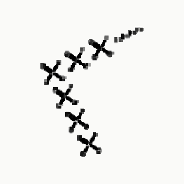 O=P([O-])([O-])F.O=P([O-])([O-])F.O=P([O-])([O-])F.O=P([O-])([O-])F.O=P([O-])([O-])F.O=P([O-])([O-])F.[Ir+3].[Ir+3].[Ir+3].[Ir+3]